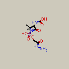 C[C@H]1[C@H](NC(=O)O)C(=O)N1P(=O)(O)OCC(=O)NN